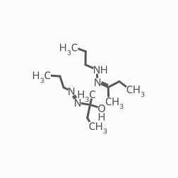 CCCN=NC(C)(O)CC.CCCNN=C(C)CC